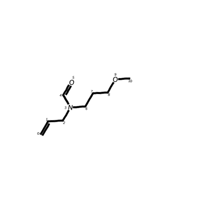 C=CCN(C=O)CCCOC